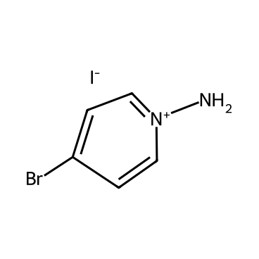 N[n+]1ccc(Br)cc1.[I-]